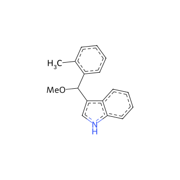 COC(c1ccccc1C)c1c[nH]c2ccccc12